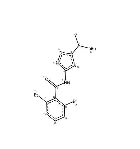 CCCCC(C)c1nnc(NC(=O)c2c(CC)cccc2CC)s1